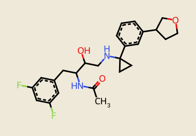 CC(=O)NC(Cc1cc(F)cc(F)c1)C(O)CNC1(c2cccc(C3CCOC3)c2)CC1